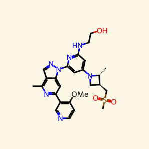 COc1ccncc1-c1cc2c(cnn2-c2cc(N3C[C@H](CS(C)(=O)=O)[C@H]3C)cc(NCCO)n2)c(C)n1